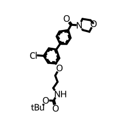 CC(C)(C)OC(=O)NCCCOc1cc(Cl)cc(-c2ccc(C(=O)N3CCOCC3)cc2)c1